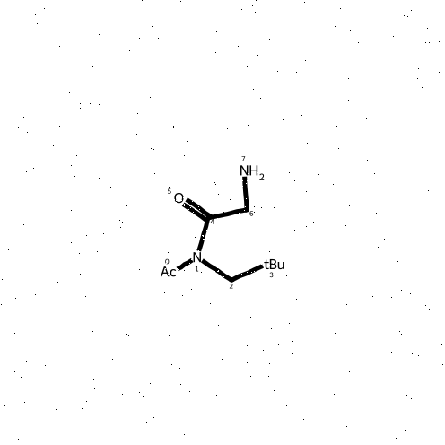 CC(=O)N(CC(C)(C)C)C(=O)CN